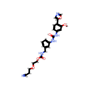 COc1cc(NC(=O)Nc2cccc(CNC(=O)OCCOCCC#N)c2)ccc1-c1cnco1